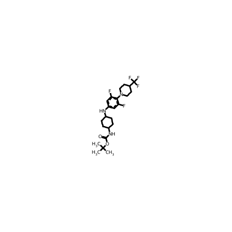 CC(C)(C)OC(=O)NC1CCC(Nc2cc(F)c(N3CCC(C(F)(F)F)CC3)c(F)c2)CC1